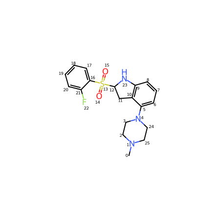 CN1CCN(c2cccc3c2CC(S(=O)(=O)c2ccccc2F)N3)CC1